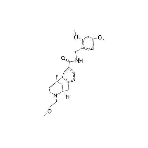 COCCN1CC[C@@]2(C)C[C@H]1Cc1ccc(C(=O)NCc3ccc(OC)cc3OC)cc12